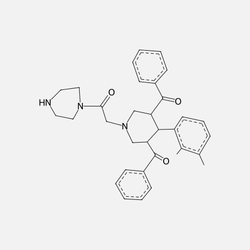 Cc1cccc(C2C(C(=O)c3ccccc3)CN(CC(=O)N3CCNCC3)CC2C(=O)c2ccccc2)c1C